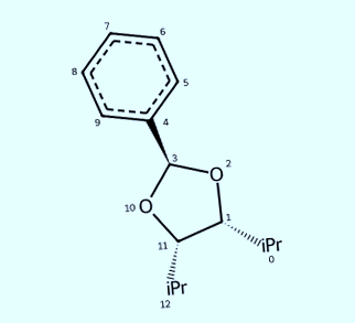 CC(C)[C@H]1O[C@H](c2ccccc2)O[C@H]1C(C)C